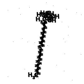 CC(O)CO.CCCCCCCCCCCCSCCCCCCCCCCCC.OB(O)O